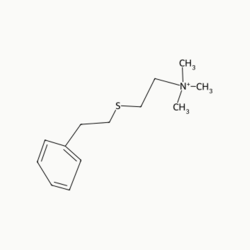 C[N+](C)(C)CCSCCc1ccccc1